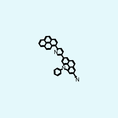 N#Cc1cc2ccc3cc(-c4ccc(-c5ccc6ccc7cccc8ccc5c6c78)nc4)cc4c3c2c(c1)n4-c1ccccc1